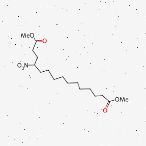 COC(=O)CCCCCCCCCCC(CCC(=O)OC)[N+](=O)[O-]